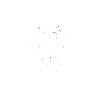 Cc1cccc(C)c1-c1nc(-c2cc(-n3c4ccccc4c4ccccc43)c(-n3c4ccccc4c4ccccc43)c(-n3c4ccccc4c4ccccc43)c2)nc(-c2c(C)cccc2C)n1